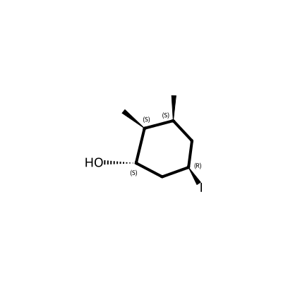 C[C@H]1[C@@H](C)C[C@@H](I)C[C@@H]1O